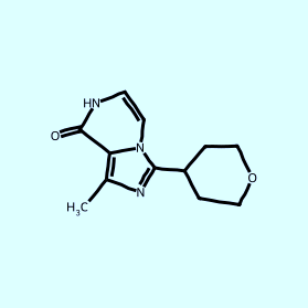 Cc1nc(C2CCOCC2)n2cc[nH]c(=O)c12